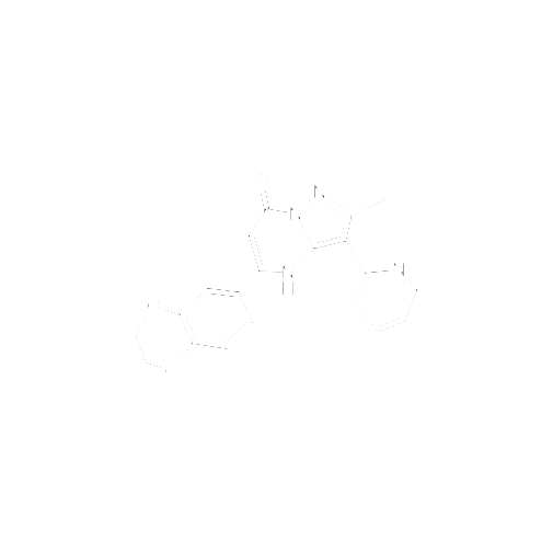 Cc1nn2c(=O)cc(-c3ccc4c(c3)OCCO4)[nH]c2c1-c1ccccn1